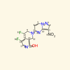 O=[N+]([O-])c1cnn2ccc(N(CCF)Cc3cc(F)cnc3O)nc12